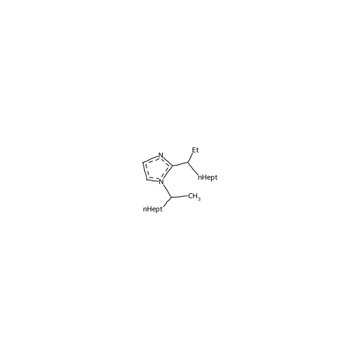 CCCCCCCC(CC)c1nccn1C(C)CCCCCCC